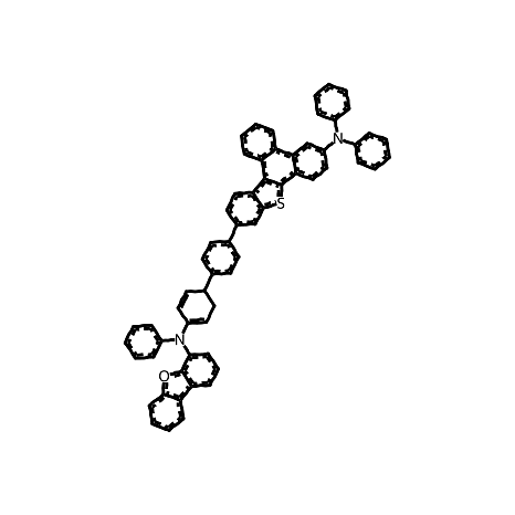 C1=CC(c2ccc(-c3ccc4c(c3)sc3c5ccc(N(c6ccccc6)c6ccccc6)cc5c5ccccc5c43)cc2)CC=C1N(c1ccccc1)c1cccc2c1oc1ccccc12